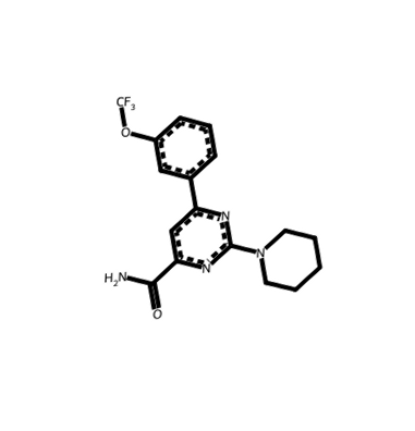 NC(=O)c1cc(-c2cccc(OC(F)(F)F)c2)nc(N2CCCCC2)n1